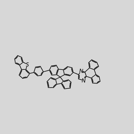 c1ccc2c(c1)-c1ccccc1C21c2cc(-c3ccc(-c4cccc5c4sc4ccccc45)cc3)ccc2-c2ccc(-c3cnc4c5ccccc5c5ccccc5c4n3)cc21